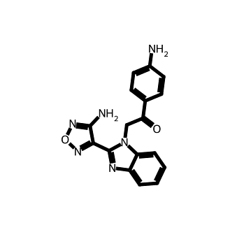 Nc1ccc(C(=O)Cn2c(-c3nonc3N)nc3ccccc32)cc1